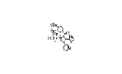 CC(C)C[C@@]1(C(=O)O)C[C@H](c2cccnn2)[C@H](c2nccs2)N1C(=O)c1ccc(C(C)(C)C)c(Br)c1